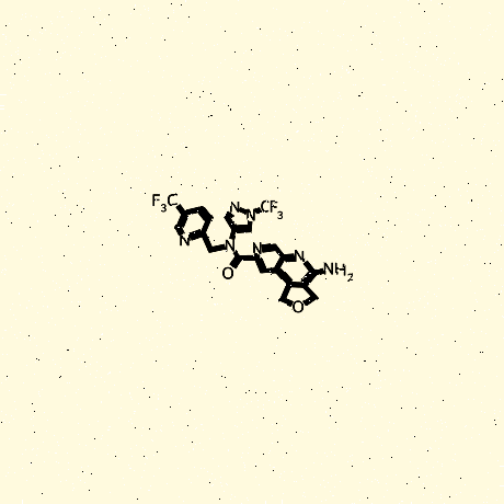 Nc1nc2cnc(C(=O)N(Cc3ccc(C(F)(F)F)cn3)c3cnn(C(F)(F)F)c3)cc2c2c1COC2